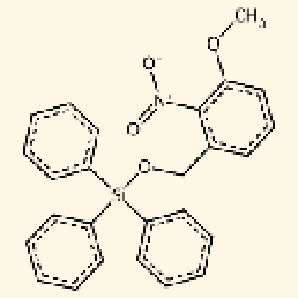 COc1cccc(CO[Si](c2ccccc2)(c2ccccc2)c2ccccc2)c1[N+](=O)[O-]